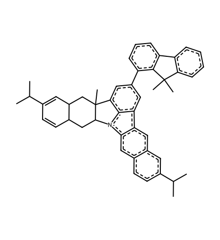 CC(C)C1=CC2CC3(C)c4cc(-c5cccc6c5C(C)(C)c5ccccc5-6)cc5c6cc7cc(C(C)C)ccc7cc6n(c45)C3CC2C=C1